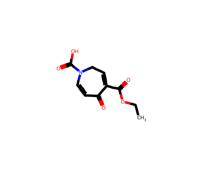 CCOC(=O)C1=CCN(C(=O)O)C=CC1=O